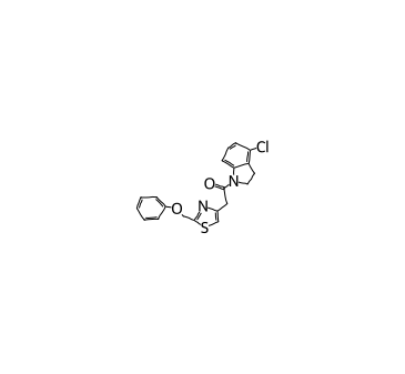 O=C(Cc1csc(COc2ccccc2)n1)N1CCc2c(Cl)cccc21